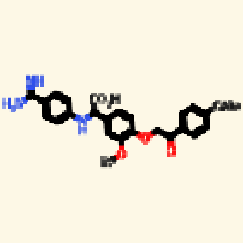 CCOc1cc(C(Nc2ccc(C(=N)N)cc2)C(=O)O)ccc1OCC(=O)c1ccc(OC)cc1